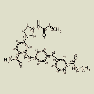 C=CC(=O)N[C@H]1CCN(c2ccc(C(N)=O)c(Nc3ccc(Oc4ccnc(C(=O)NC)c4)cc3)n2)C1